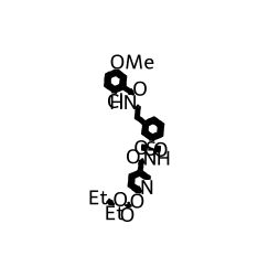 CCC(CC)OC(=O)Oc1ccc(C(=O)NS(=O)(=O)c2cccc(CCNC(=O)c3cc(OC)ccc3Cl)c2)cn1